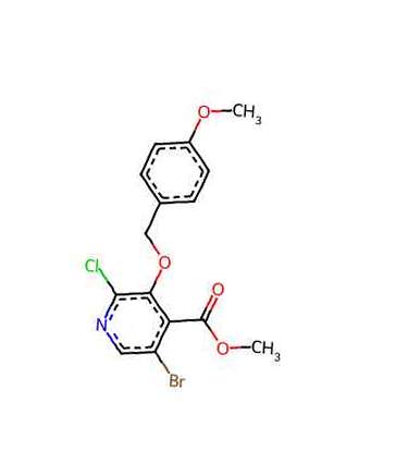 COC(=O)c1c(Br)cnc(Cl)c1OCc1ccc(OC)cc1